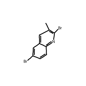 Cc1cc2cc(Br)ccc2nc1Br